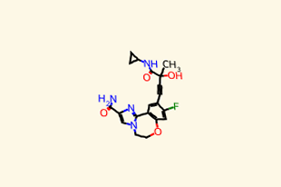 CC(O)(C#Cc1cc2c(cc1F)OCCn1cc(C(N)=O)nc1-2)C(=O)NC1CC1